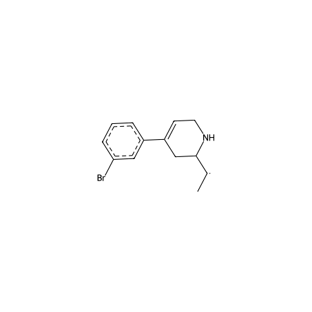 C[CH]C1CC(c2cccc(Br)c2)=CCN1